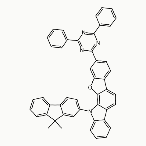 CC1(C)c2ccccc2-c2ccc(-n3c4ccccc4c4ccc5c6ccc(-c7nc(-c8ccccc8)nc(-c8ccccc8)n7)cc6oc5c43)cc21